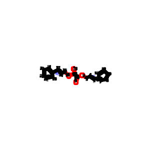 O=C(OC/C=C/c1ccccc1)C(=O)OC/C=C/c1ccccc1